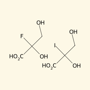 O=C(O)C(O)(F)CO.O=C(O)C(O)(I)CO